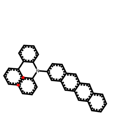 c1ccc(-c2ccccc2N(c2ccccc2)c2ccc3cc4cc5ccccc5cc4cc3c2)cc1